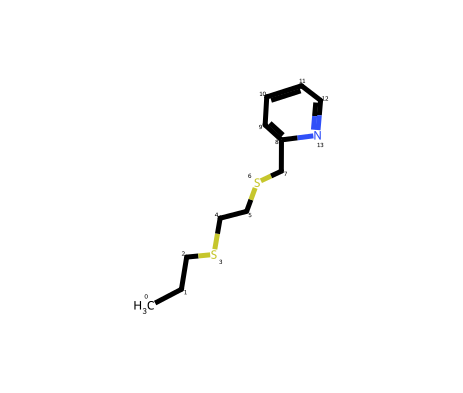 CCCSCCSCc1ccccn1